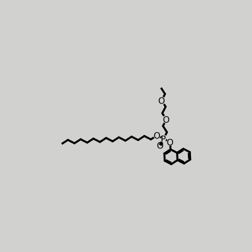 CCCCCCCCCCCCCCCOP(=O)(CCOCCOCC)Oc1cccc2ccccc12